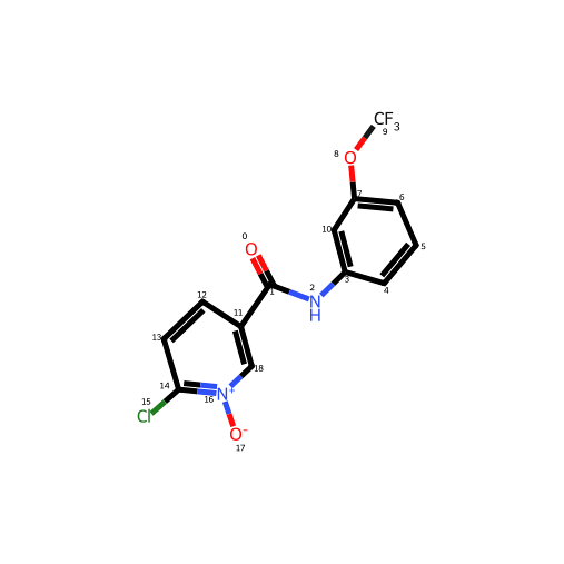 O=C(Nc1cccc(OC(F)(F)F)c1)c1ccc(Cl)[n+]([O-])c1